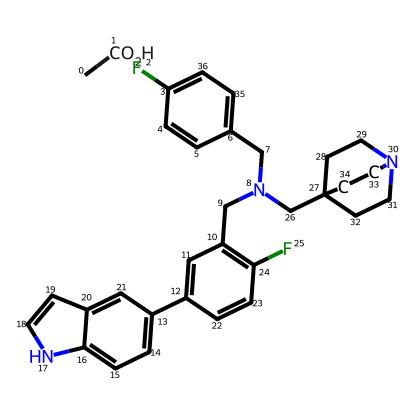 CC(=O)O.Fc1ccc(CN(Cc2cc(-c3ccc4[nH]ccc4c3)ccc2F)CC23CCN(CC2)CC3)cc1